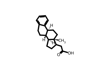 C[C@]12CC[C@@H]3c4ccccc4CC[C@H]3[C@@H]1CCC2CC(=O)O